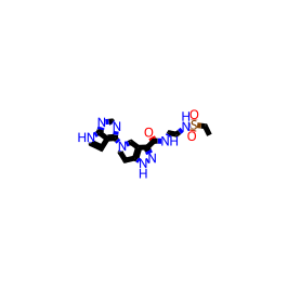 CCS(=O)(=O)NCCNC(=O)c1n[nH]c2c1CN(c1ncnc3[nH]ccc13)CC2